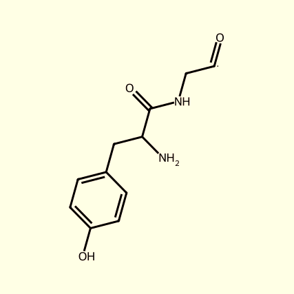 NC(Cc1ccc(O)cc1)C(=O)NC[C]=O